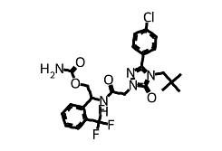 CC(C)(C)Cn1c(-c2ccc(Cl)cc2)nn(CC(=O)NC(COC(N)=O)c2ccccc2C(F)(F)F)c1=O